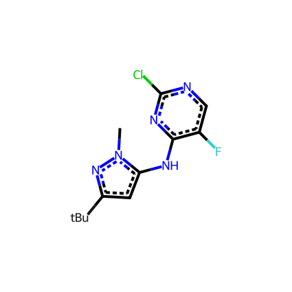 Cn1nc(C(C)(C)C)cc1Nc1nc(Cl)ncc1F